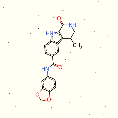 CC1CNC(=O)c2[nH]c3ccc(C(=O)Nc4ccc5c(c4)OCO5)cc3c21